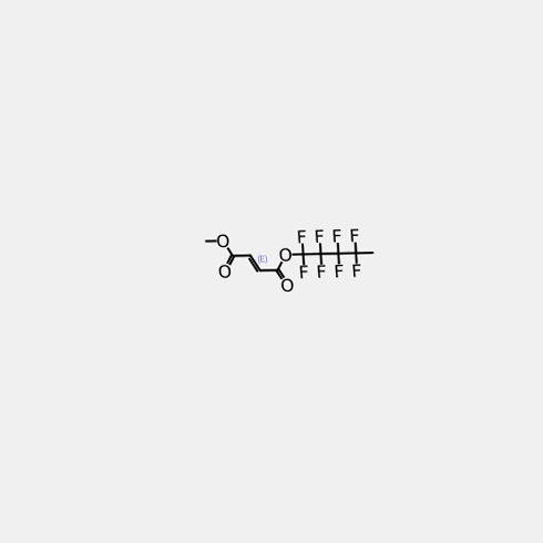 COC(=O)/C=C/C(=O)OC(F)(F)C(F)(F)C(F)(F)C(C)(F)F